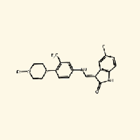 CCN1CCN(c2ccc(N/C=C3/C(=O)Nc4ccc(F)cc43)cc2C(F)(F)F)CC1